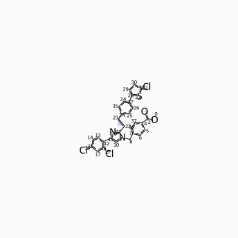 COC(=O)c1ccc(Cn2cc(-c3ccc(Cl)cc3Cl)nc2/C=C/c2ccc(-c3ccc(Cl)s3)cc2)cc1